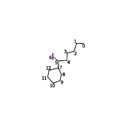 CCCCCC(I)C1CCCCC1